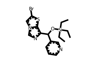 CC[Si](CC)(CC)OC(c1cccnc1)c1ncn2cc(Br)sc12